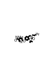 C=C(C)OC(=O)N(CCC(C)C)Cc1ccc(Oc2ccc(C(=O)NC)cn2)cc1